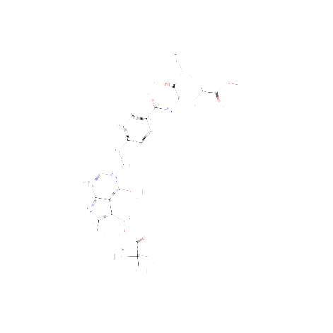 COC(=O)CC[C@H](NC(=O)c1ccc(CCn2cnc3nc(C)c(COC(=O)C(C)(C)C)c-3c2O)cc1)C(=O)OC